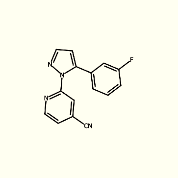 N#Cc1ccnc(-n2nccc2-c2cccc(F)c2)c1